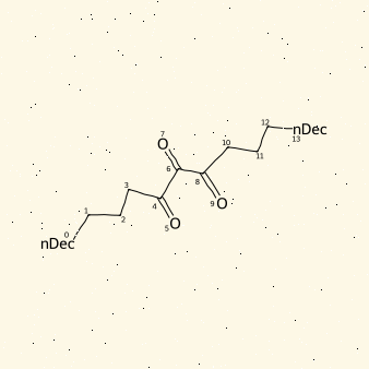 CCCCCCCCCCCCCC(=O)C(=O)C(=O)CCCCCCCCCCCCC